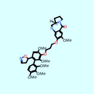 COc1cc2c(cc1OCCCOc1c(OC)cc(C3CC=NO3)c(-c3ccc(OC)c(OC)c3OC)c1OC)N=C[C@@H]1CCCN1C2=O